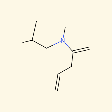 C=CCC(=C)N(C)CC(C)C